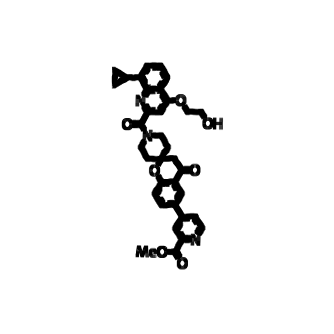 COC(=O)c1cc(-c2ccc3c(c2)C(=O)CC2(CCN(C(=O)c4cc(OCCO)c5cccc(C6CC6)c5n4)CC2)O3)ccn1